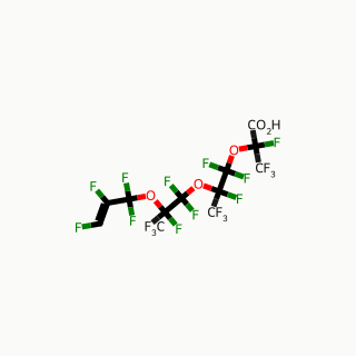 O=C(O)C(F)(OC(F)(F)C(F)(OC(F)(F)C(F)(OC(F)(F)C(F)=CF)C(F)(F)F)C(F)(F)F)C(F)(F)F